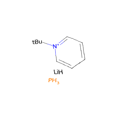 CC(C)(C)[n+]1ccccc1.P.[LiH]